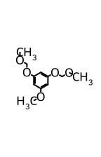 COCOc1cc(OC)cc(OCOC)c1